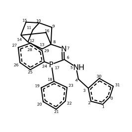 c1ccc(CN/C(=N/C23CC4CC(C2)C(C4)C3)P(c2ccccc2)c2ccccc2)cc1